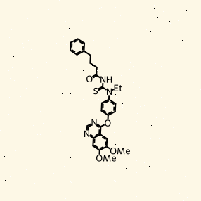 CCN(C(=S)NC(=O)CCCc1ccccc1)c1ccc(Oc2ncnc3cc(OC)c(OC)cc23)cc1